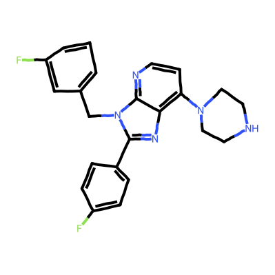 Fc1ccc(-c2nc3c(N4CCNCC4)ccnc3n2Cc2cccc(F)c2)cc1